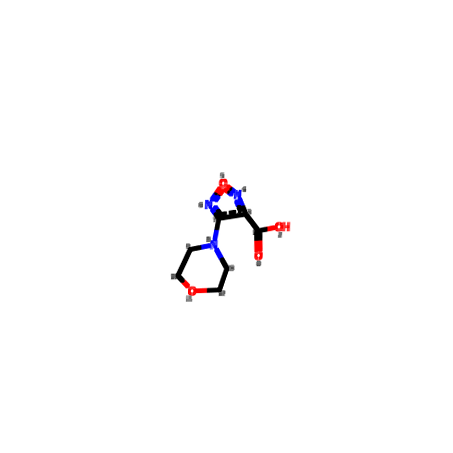 O=C(O)c1nonc1N1CCOCC1